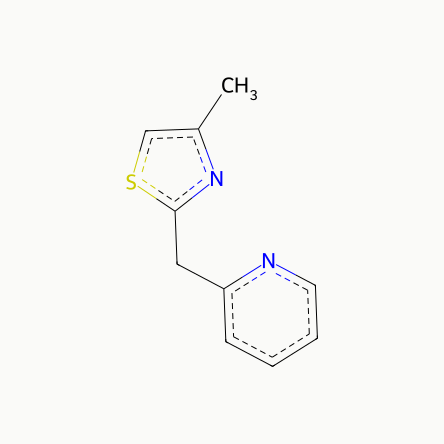 Cc1csc(Cc2ccccn2)n1